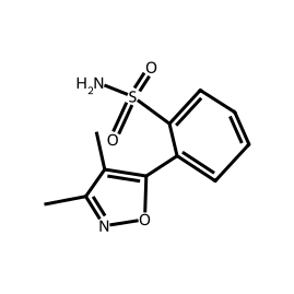 Cc1noc(-c2ccccc2S(N)(=O)=O)c1C